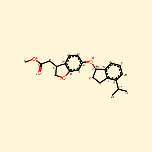 COC(=O)CC1COc2cc(O[C@@H]3CCc4c(C(C)C)cccc43)ccc21